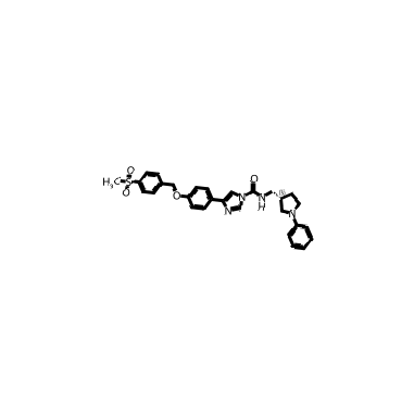 CS(=O)(=O)c1ccc(COc2ccc(-c3cn(C(=O)NC[C@@H]4CCN(c5ccccc5)C4)cn3)cc2)cc1